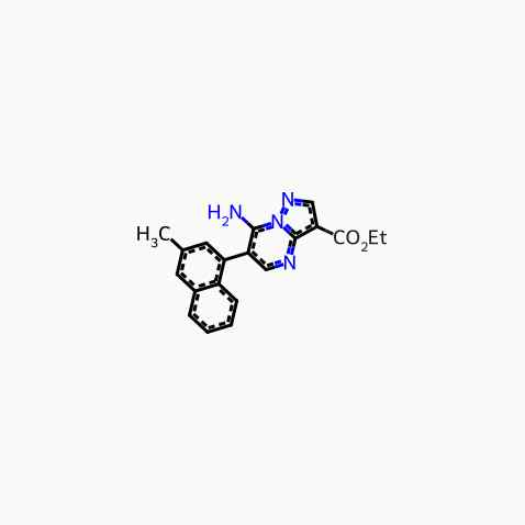 CCOC(=O)c1cnn2c(N)c(-c3cc(C)cc4ccccc34)cnc12